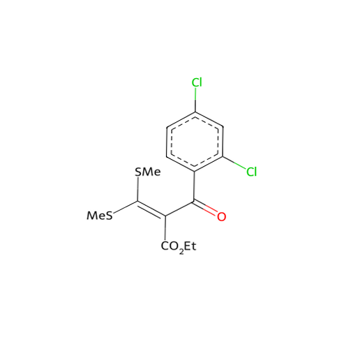 CCOC(=O)C(C(=O)c1ccc(Cl)cc1Cl)=C(SC)SC